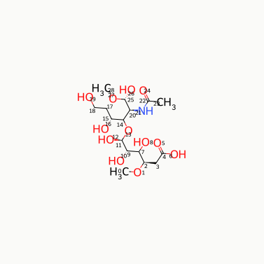 CO[C@H](CC(=O)O)C(O)[C@H](O)[C@@H](O)OC([C@H](O)CCO)[C@H](NC(C)=O)[C@@H](O)OC